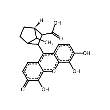 CC1C2CC[C@@H]1C(C(=O)O)C2c1c2ccc(=O)c(O)c-2oc2c(O)c(O)ccc12